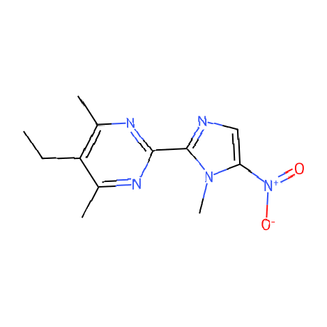 CCc1c(C)nc(-c2ncc([N+](=O)[O-])n2C)nc1C